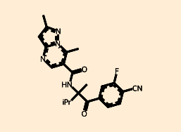 Cc1cc2ncc(C(=O)NC(C)(C(=O)c3ccc(C#N)c(F)c3)C(C)C)c(C)n2n1